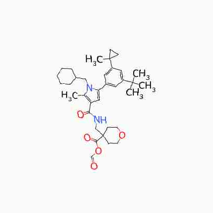 Cc1c(C(=O)NCC2(C(=O)OC=O)CCOCC2)cc(-c2cc(C(C)(C)C)cc(C3(C)CC3)c2)n1CC1CCCCC1